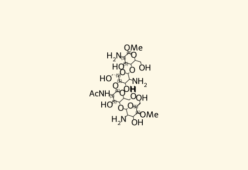 CO[C@@H]1OC(CO)C(OC2O[C@@H](CO)[C@@H](O[C@@H]3OC(CO)C(OC4O[C@@H](CO)[C@@H](OC)C(O)C4N)[C@@H](O)[C@@H]3NC(C)=O)C(O)C2N)[C@@H](O)[C@@H]1N